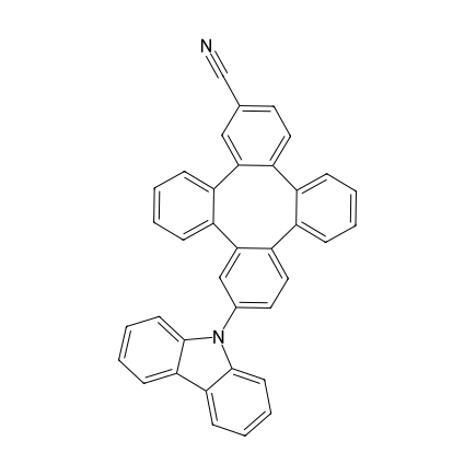 N#Cc1ccc2c(c1)-c1ccccc1-c1cc(-n3c4ccccc4c4ccccc43)ccc1-c1ccccc1-2